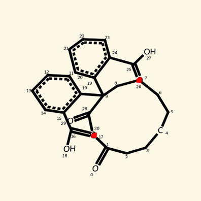 O=C1CCCCCCCC(c2ccccc2C(=O)O)(c2ccccc2C(=O)O)C(=O)O1